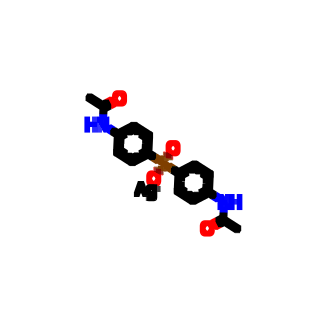 CC(=O)Nc1ccc(S(=O)(=O)c2ccc(NC(C)=O)cc2)cc1.[Ag]